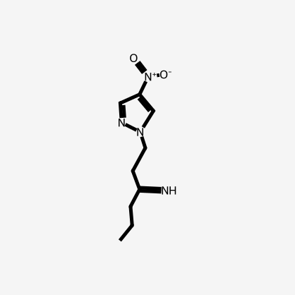 CCCC(=N)CCn1cc([N+](=O)[O-])cn1